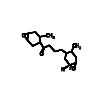 CC1CC2O[C@@H]2CC1CCCC(=O)C1CC2OC2CC1C